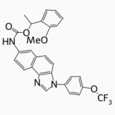 COc1ccccc1C(C)OC(=O)Nc1ccc2c(ccc3c2ncn3-c2ccc(OC(F)(F)F)cc2)c1